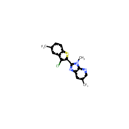 Cn1c(-c2sc3ccc(C(F)(F)F)cc3c2Cl)nc2cc(C(F)(F)F)cnc21